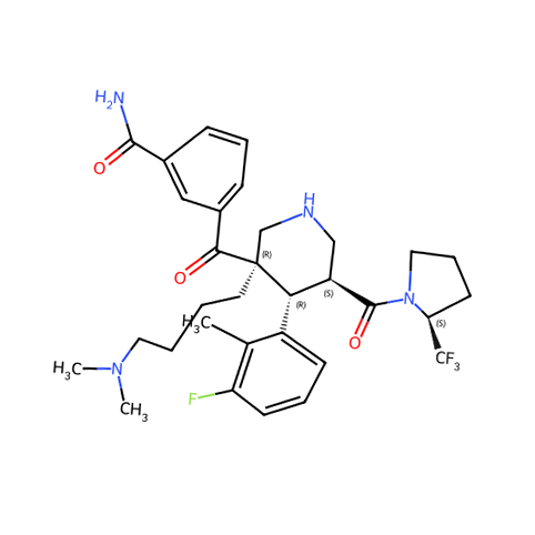 Cc1c(F)cccc1[C@H]1[C@H](C(=O)N2CCC[C@H]2C(F)(F)F)CNC[C@]1(CCCCN(C)C)C(=O)c1cccc(C(N)=O)c1